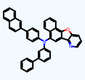 c1ccc(-c2cccc(N(c3ccc(-c4ccc5ccccc5c4)cc3)c3cc4c5ncccc5oc4c4ccccc34)c2)cc1